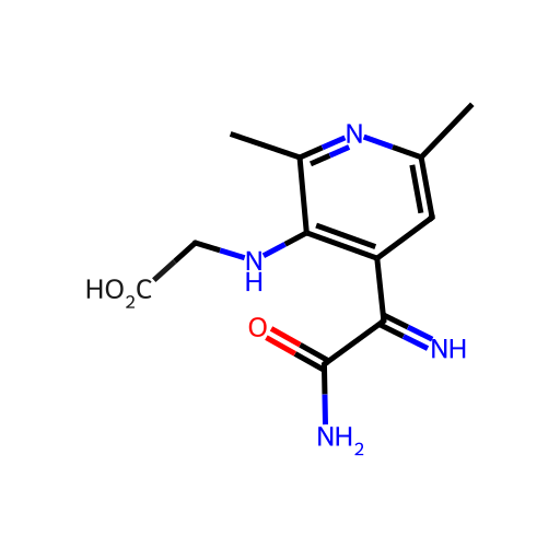 Cc1cc(C(=N)C(N)=O)c(NCC(=O)O)c(C)n1